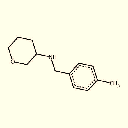 Cc1ccc(CNC2CCCOC2)cc1